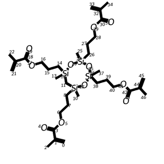 C=C(C)C(=O)OCCC[Si]1(C)C[Si](C)(CCCOC(=O)C(=C)C)O[Si](C)(CCCOC(=O)C(=C)C)O[Si](C)(CCCOC(=O)C(=C)C)O1